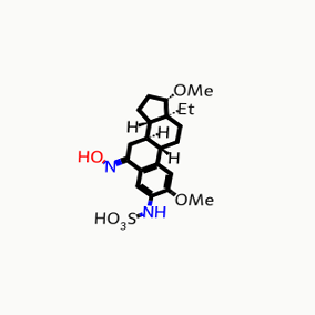 CC[C@]12CC[C@@H]3c4cc(OC)c(NS(=O)(=O)O)cc4/C(=N/O)C[C@H]3[C@@H]1CC[C@@H]2OC